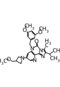 COCC1CN(c2cnc3c(c2)n(Cc2cc(OC)cc(OC)c2)c(=O)n2c(C)c(C(C)C)nc32)C1